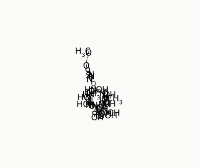 COCCCCCCOc1ccc(-c2nn3cc([C@H]4CC[C@H](CN[C@H]5C[C@@H](O)CNC(=O)[C@@H]6[C@@H](O)[C@@H](C)CN6C(=O)[C@H]([C@H](O)CCNC(CO)CO)NC(=O)[C@H]([C@H](O)Cc6ccc(O)c(OS(=O)(=O)O)c6)NC(=O)[C@@H]6C[C@@H](O)CN6C(=O)C([C@@H](C)O)NC5=O)CC4)nc3s2)cc1